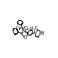 CC1CNCCN1c1ccc2c(c1)OCC(c1ccccc1)N2S(=O)(=O)c1ccccc1